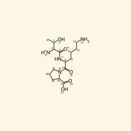 CC(O)C(N)C(=O)NC(CCCCN)C(=O)N1CCCC1C(=O)O